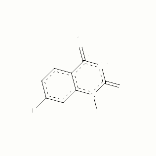 Cn1c(=O)oc(=O)c2ccc(F)cc21